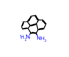 Nc1c(N)c2cccc3ccc4[c]ccc1c4c32